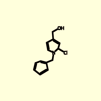 OCC1=CC(Cl)N(Cc2ccccc2)C=C1